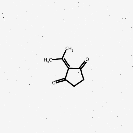 CC(C)=C1C(=O)CCC1=O